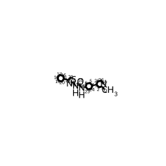 Cc1cc(-c2ccc(NC(=O)Nc3nc(-c4ccccc4)cs3)cc2)ccn1